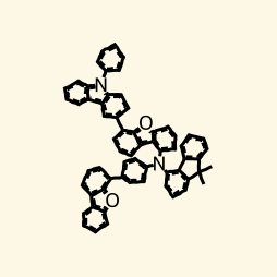 CC1(C)c2ccccc2-c2c(N(c3ccc(-c4cccc5c4oc4ccccc45)cc3)c3cccc4oc5c(-c6ccc7c(c6)c6ccccc6n7-c6ccccc6)cccc5c34)cccc21